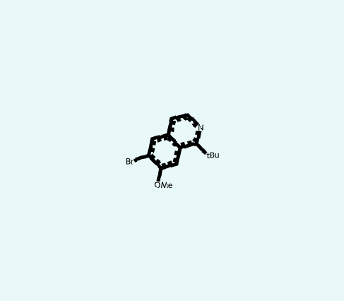 COc1cc2c(C(C)(C)C)nccc2cc1Br